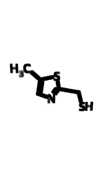 Cc1cnc(CS)s1